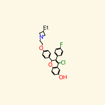 CCC1CN(CCOc2ccc(C3Oc4ccc(O)cc4C(Cl)=C3c3ccc(F)cc3)cc2)C1